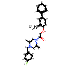 CC1CN(C(=O)COc2ccc(-c3ccccc3)cc2[N+](=O)[O-])C(C)CN1Cc1ccc(F)cc1